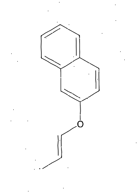 [CH2]C=COc1ccc2ccccc2c1